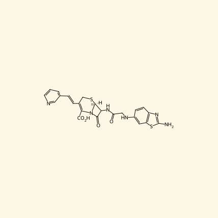 Nc1nc2ccc(NCC(=O)NC3C(=O)N4C(C(=O)O)=C(C=Cc5cccnc5)CS[C@@H]34)cc2s1